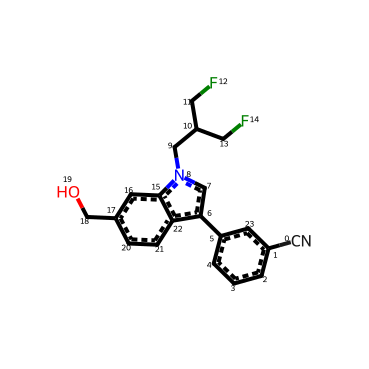 N#Cc1cccc(-c2cn(CC(CF)CF)c3cc(CO)ccc23)c1